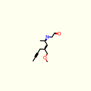 CC#CC/C(=C\C(C)=N/CC=O)COC